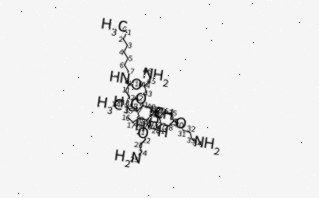 CCCCCCCCNC(=O)CC[C@@H](C)[C@H]1CC[C@H]2[C@@H]3[C@H](OCCCN)C[C@@H]4C[C@H](OCCCN)CC[C@]4(C)[C@H]3C[C@H](OCCCN)[C@]12C